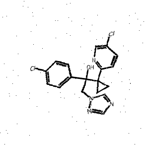 OC(Cn1cncn1)(c1ccc(Cl)cc1)C1(c2ccc(Cl)cn2)CC1